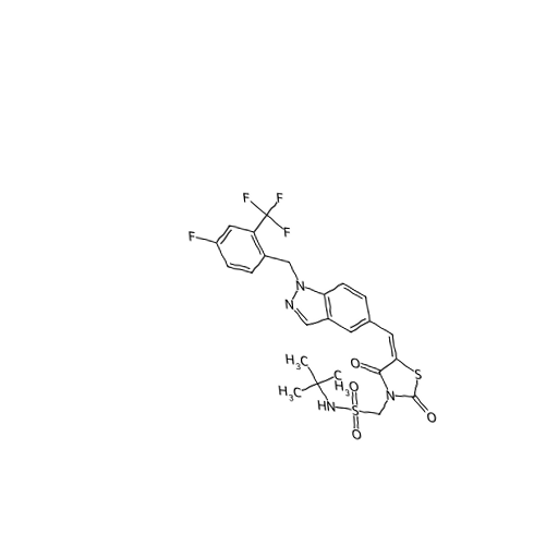 CC(C)(C)NS(=O)(=O)CN1C(=O)SC(=Cc2ccc3c(cnn3Cc3ccc(F)cc3C(F)(F)F)c2)C1=O